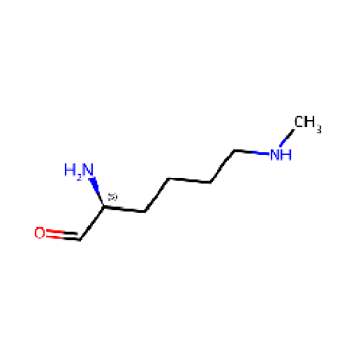 CNCCCC[C@H](N)C=O